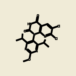 COc1nc(C(C)C)c(-n2c(=O)[nH]c(=O)c3cc(Cl)c(Cl)nc32)c(C(C)C)n1